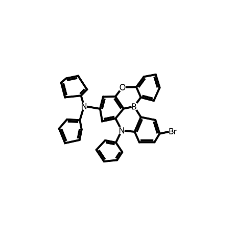 Brc1ccc2c(c1)B1c3ccccc3Oc3cc(N(c4ccccc4)c4ccccc4)cc(c31)N2c1ccccc1